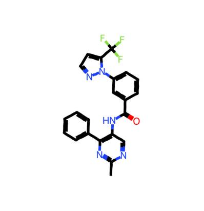 Cc1ncc(NC(=O)c2cccc(-n3nccc3C(F)(F)F)c2)c(-c2ccccc2)n1